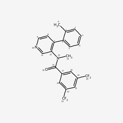 Cc1ccccc1-c1ccncc1N(C)C(=O)c1cc(C(F)(F)F)cc(C(F)(F)F)c1